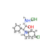 CNCC(O)C(c1ccccc1)n1ccc2cc(Cl)ccc21.Cl